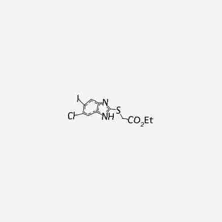 CCOC(=O)CSc1nc2cc(I)c(Cl)cc2[nH]1